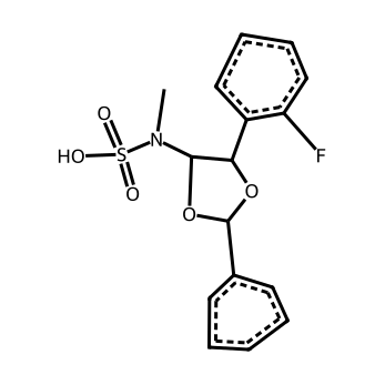 CN(C1OC(c2ccccc2)OC1c1ccccc1F)S(=O)(=O)O